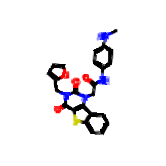 CNc1ccc(NC(=O)Cn2c(=O)n(Cc3ccco3)c(=O)c3sc4ccccc4c32)cc1